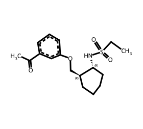 CCS(=O)(=O)N[C@@H]1CCCC[C@H]1COc1cccc(C(C)=O)c1